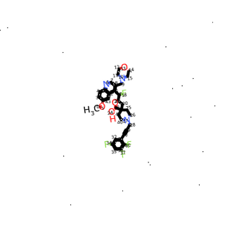 COc1ccc2ncc(CN3CCOCC3)c(C(F)CCC3(C(=O)O)CCN(CC#Cc4cc(F)cc(F)c4F)CC3)c2c1